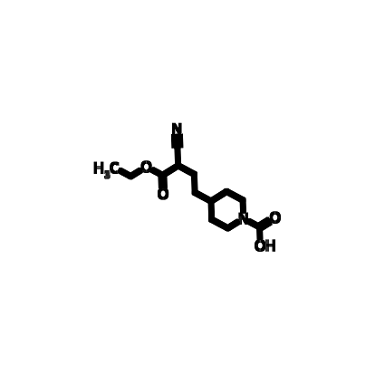 CCOC(=O)C(C#N)CCC1CCN(C(=O)O)CC1